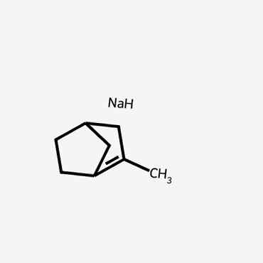 CC1=C2CCC(C1)C2.[NaH]